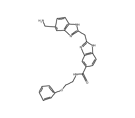 NCc1ccc2[nH]c(Cc3nc4cc(C(=O)NCCOc5ccccc5)ccc4[nH]3)nc2c1